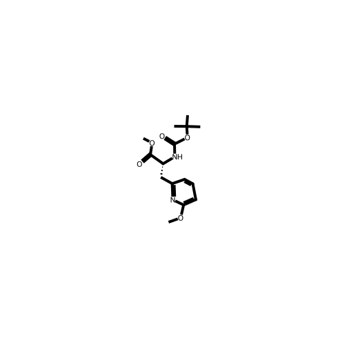 COC(=O)[C@@H](Cc1cccc(OC)n1)NC(=O)OC(C)(C)C